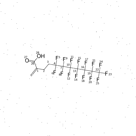 C=C(CCC(F)(F)C(F)(F)C(F)(F)C(F)(F)C(F)(F)C(F)(F)C(F)(F)F)C(=O)O